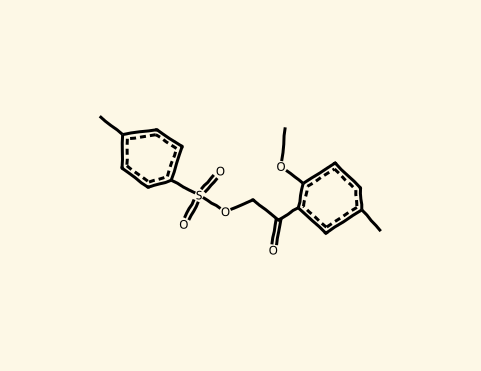 COc1ccc(C)cc1C(=O)COS(=O)(=O)c1ccc(C)cc1